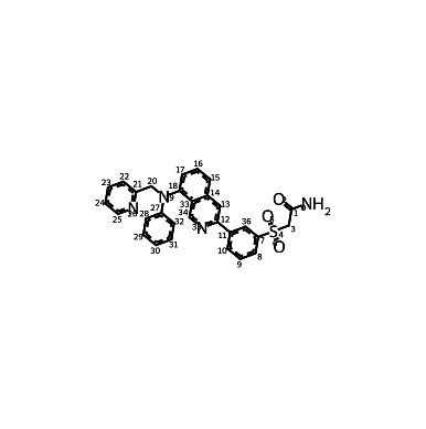 NC(=O)CS(=O)(=O)c1cccc(-c2cc3cccc(N(Cc4ccccn4)c4ccccc4)c3cn2)c1